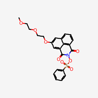 COCCOCCOc1cc2c3c(cccc3c1)C(=O)N(OS(=O)(=O)c1ccccc1)C2=O